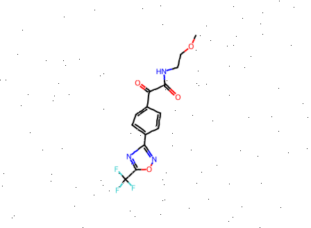 COCCNC(=O)C(=O)c1ccc(-c2noc(C(F)(F)F)n2)cc1